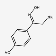 CC(C)(C)CC(=NO)c1ccc(O)cc1